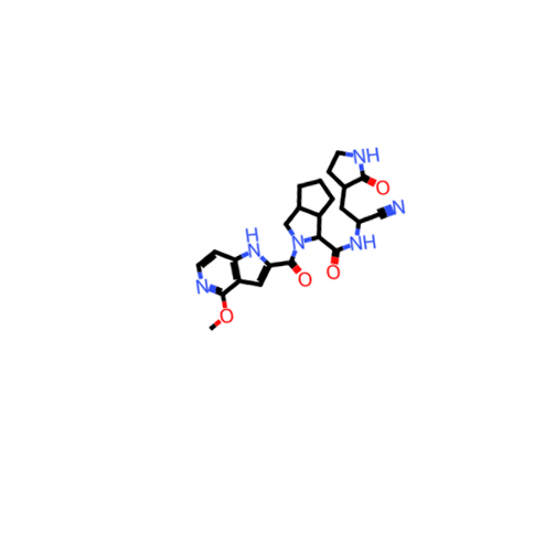 COc1nccc2[nH]c(C(=O)N3CC4CCCC4C3C(=O)NC(C#N)CC3CCNC3=O)cc12